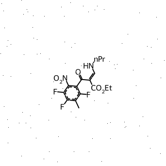 CCCN/C=C(/C(=O)OCC)C(=O)c1c(F)c(C)c(F)c(F)c1[N+](=O)[O-]